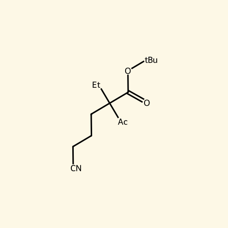 CCC(CCCC#N)(C(C)=O)C(=O)OC(C)(C)C